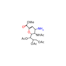 COC(=O)C1=CC(N)C(NC(C)=O)C(C(OC(C)=O)C(COC(C)=O)OC(C)=O)O1